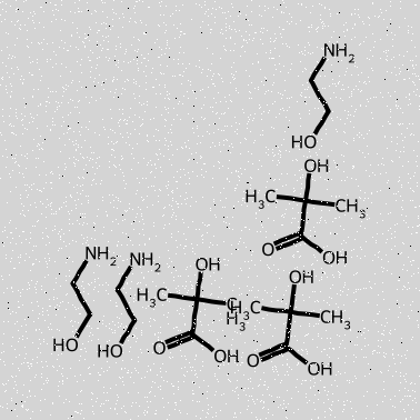 CC(C)(O)C(=O)O.CC(C)(O)C(=O)O.CC(C)(O)C(=O)O.NCCO.NCCO.NCCO